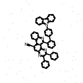 N#Cc1cc2nc(-c3ccccc3)c(-c3ccccc3)nc2c2c(-c3ccccc3-c3ccc(-n4c5ccccc5c5ccccc54)cc3)nc3ccccc3c12